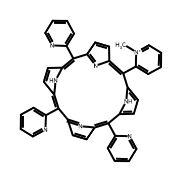 C[n+]1ccccc1-c1c2nc(c(-c3ccccn3)c3ccc([nH]3)c(-c3ccccn3)c3nc(c(-c4ccccn4)c4ccc1[nH]4)C=C3)C=C2